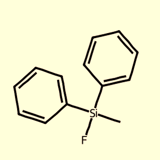 C[Si](F)(c1ccccc1)c1ccccc1